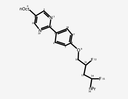 CCCCCCCCc1cnc(-c2ccc(OCC(F)CC(F)CCC)cc2)nc1